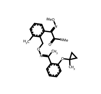 CNC(=O)/C(=N/OC)c1cccc(C)c1CO/N=C(\C)c1ccccc1OC1(C)CC1